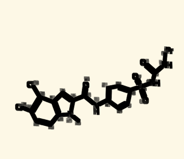 CC(C)NC(=O)NS(=O)(=O)c1ccc(NC(=O)c2cc3c(Cl)c(Cl)ccc3n2C)cc1